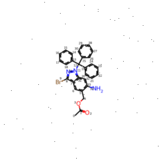 CC(=O)OCc1cc2c(Br)nn(C(c3ccccc3)(c3ccccc3)c3ccccc3)c2cc1N